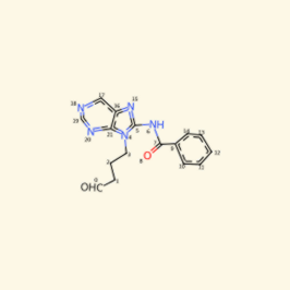 O=CCCCn1c(NC(=O)c2ccccc2)nc2cncnc21